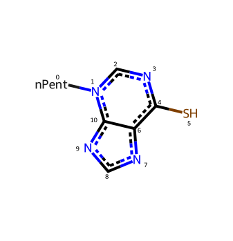 CCCCCn1cnc(S)c2ncnc1-2